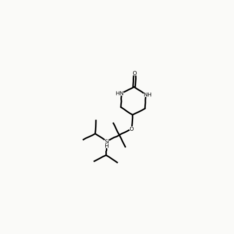 CC(C)[SiH](C(C)C)C(C)(C)OC1CNC(=O)NC1